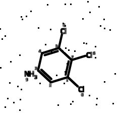 Clc1cccc(Cl)c1Cl.N